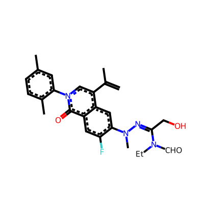 C=C(C)c1cn(-c2cc(C)ccc2C)c(=O)c2cc(F)c(N(C)/N=C(/CO)N(C=O)CC)cc12